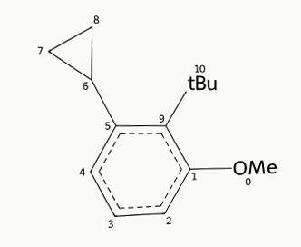 COc1cccc(C2CC2)c1C(C)(C)C